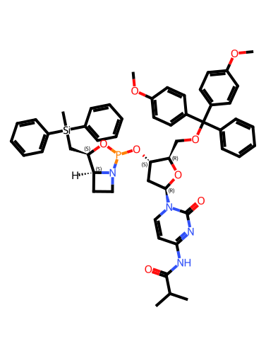 COc1ccc(C(OC[C@H]2O[C@@H](n3ccc(NC(=O)C(C)C)nc3=O)C[C@@H]2OP2O[C@H](C[Si](C)(c3ccccc3)c3ccccc3)[C@@H]3CCN32)(c2ccccc2)c2ccc(OC)cc2)cc1